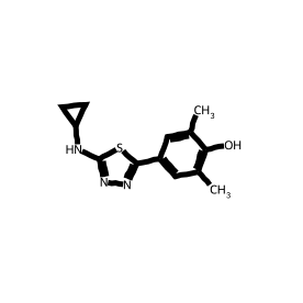 Cc1cc(-c2nnc(NC3CC3)s2)cc(C)c1O